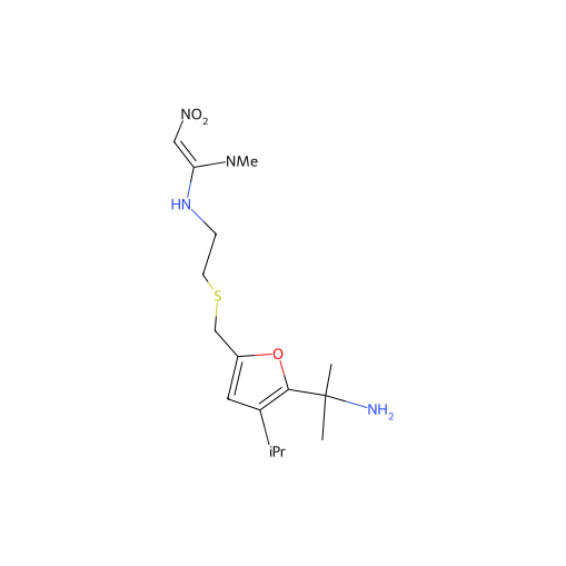 CN/C(=C\[N+](=O)[O-])NCCSCc1cc(C(C)C)c(C(C)(C)N)o1